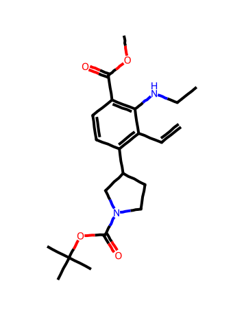 C=Cc1c(C2CCN(C(=O)OC(C)(C)C)C2)ccc(C(=O)OC)c1NCC